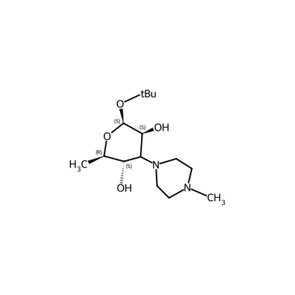 C[C@H]1O[C@@H](OC(C)(C)C)[C@@H](O)C(N2CCN(C)CC2)[C@@H]1O